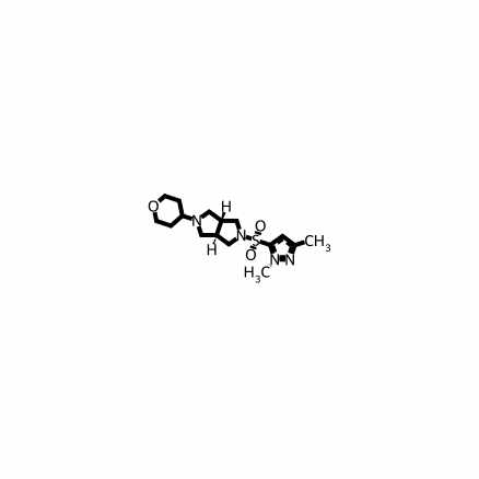 Cc1cc(S(=O)(=O)N2C[C@H]3CN(C4CCOCC4)C[C@@H]3C2)n(C)n1